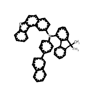 CC1(C)c2ccccc2-c2c(N(c3ccc(-c4ccc5ccccc5c4)cc3)c3ccc4ccc5oc6ccccc6c5c4c3)cccc21